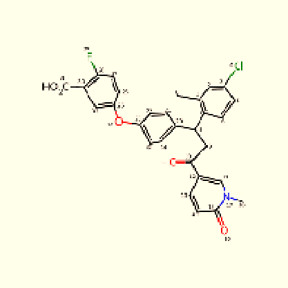 Cc1cc(Cl)ccc1C(CC(=O)c1ccc(=O)n(C)c1)c1ccc(Oc2ccc(F)c(C(=O)O)c2)cc1